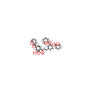 O=C(C=Cc1ccc(OC2CCCCO2)c(OC2CCCCO2)c1)c1ccc(OC2CCCCO2)cc1O